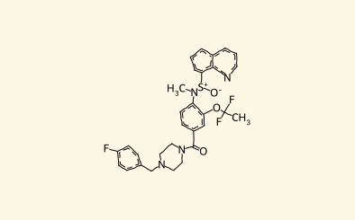 CN(c1ccc(C(=O)N2CCN(Cc3ccc(F)cc3)CC2)cc1OC(C)(F)F)[S+]([O-])c1cccc2cccnc12